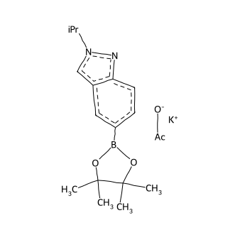 CC(=O)[O-].CC(C)n1cc2cc(B3OC(C)(C)C(C)(C)O3)ccc2n1.[K+]